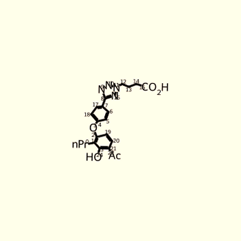 CCCc1c(Oc2ccc(-c3nnn(CCCC(=O)O)n3)cc2)ccc(C(C)=O)c1O